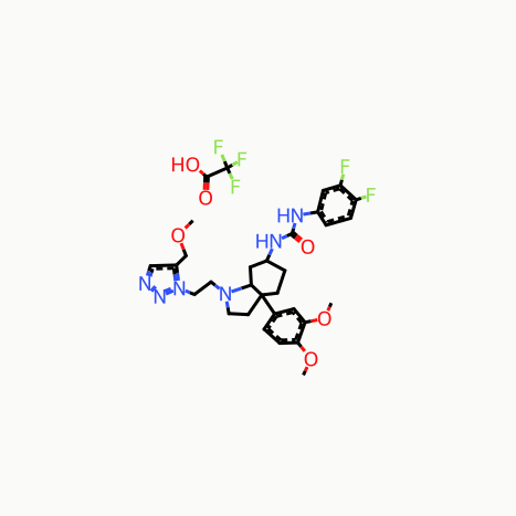 COCc1cnnn1CCN1CCC2(c3ccc(OC)c(OC)c3)CCC(NC(=O)Nc3ccc(F)c(F)c3)CC12.O=C(O)C(F)(F)F